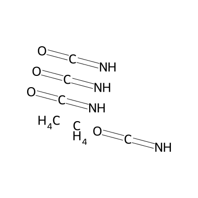 C.C.N=C=O.N=C=O.N=C=O.N=C=O